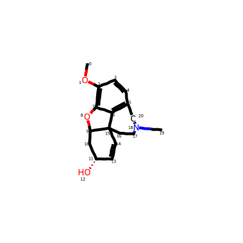 COc1ccc2c3c1OC1C[C@@H](O)C=CC31CCN(C)C2